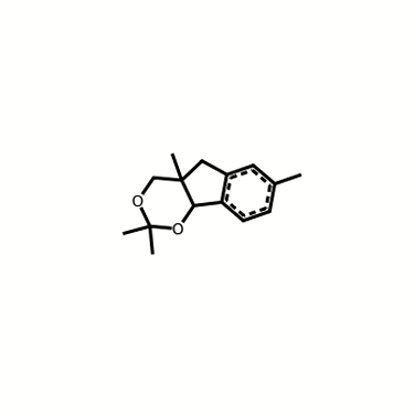 Cc1ccc2c(c1)CC1(C)COC(C)(C)OC21